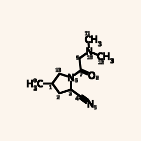 CC1CC(C#N)N(C(=O)CN(C)C)C1